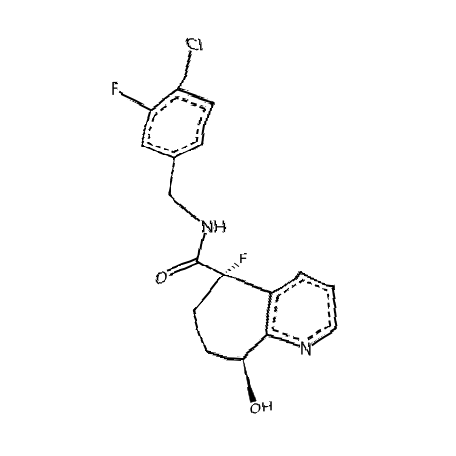 O=C(NCc1ccc(Cl)c(F)c1)[C@]1(F)CC[C@H](O)c2ncccc21